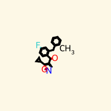 Cc1ccccc1Cc1cc(F)ccc1C(=O)c1cnoc1C1CC1